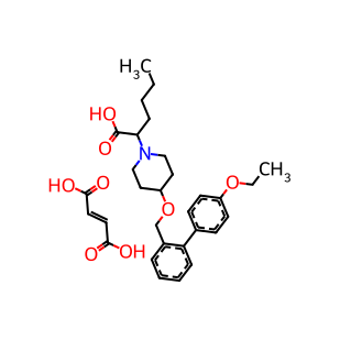 CCCCC(C(=O)O)N1CCC(OCc2ccccc2-c2ccc(OCC)cc2)CC1.O=C(O)C=CC(=O)O